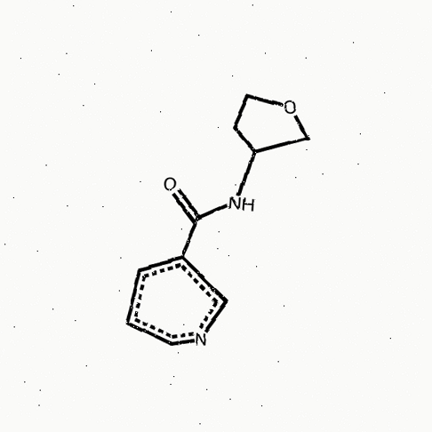 O=C(NC1CCOC1)c1cc[c]nc1